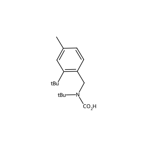 Cc1ccc(CN(C(=O)O)C(C)(C)C)c(C(C)(C)C)c1